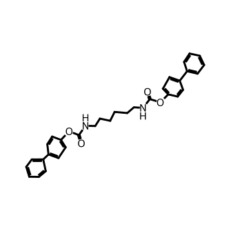 O=C(NCCCCCCNC(=O)Oc1ccc(-c2ccccc2)cc1)Oc1ccc(-c2ccccc2)cc1